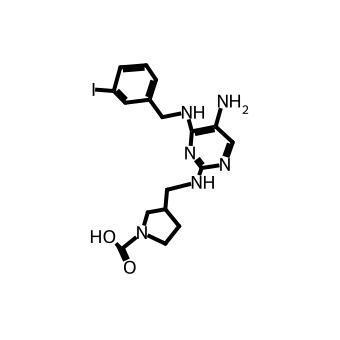 Nc1cnc(NCC2CCN(C(=O)O)C2)nc1NCc1cccc(I)c1